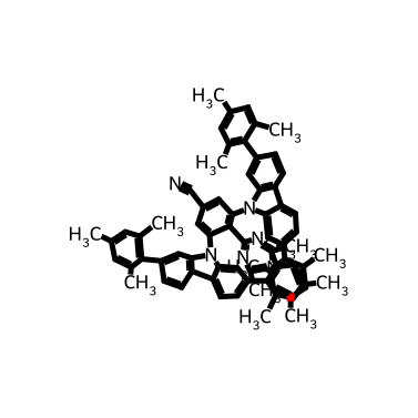 Cc1cc(C)c(-c2ccc3c4ccc(-c5c(C)cc(C)cc5C)cc4n(-c4cc(C#N)cc(-n5c6cc(-c7c(C)cc(C)cc7C)ccc6c6ccc(-c7c(C)cc(C)cc7C)cc65)c4-c4nc(C)nc(C)n4)c3c2)c(C)c1